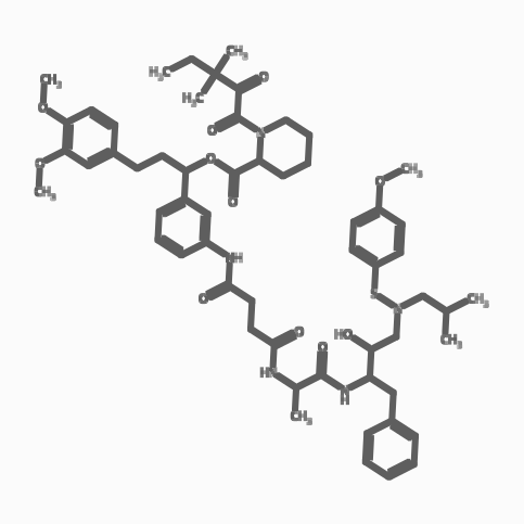 CCC(C)(C)C(=O)C(=O)N1CCCCC1C(=O)OC(CCc1ccc(OC)c(OC)c1)c1cccc(NC(=O)CCC(=O)NC(C)C(=O)NC(Cc2ccccc2)C(O)CN(CC(C)C)Sc2ccc(OC)cc2)c1